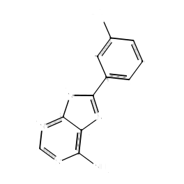 Nc1ncnc2[nH]c(-c3cccc(C(F)(F)F)c3)nc12